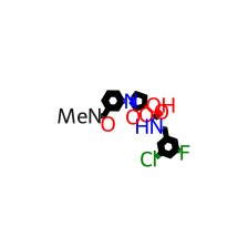 CNC(=O)c1cccc(N2CC[C@](O)(OC(=O)NCc3cc(F)cc(Cl)c3)C2=O)c1